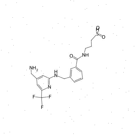 NCc1cc(NCc2cccc(C(=O)NCCC[SH](=O)=O)c2)nc(C(F)(F)F)c1